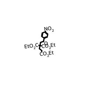 CCOC(=O)CCC(CC(=O)c1ccc([N+](=O)[O-])cc1)(C(=O)OCC)C(=O)OCC